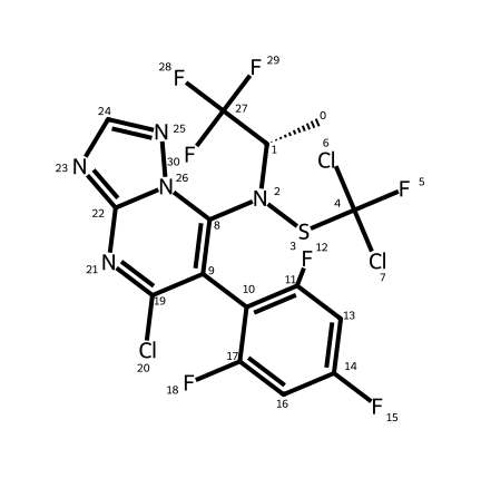 C[C@H](N(SC(F)(Cl)Cl)c1c(-c2c(F)cc(F)cc2F)c(Cl)nc2ncnn12)C(F)(F)F